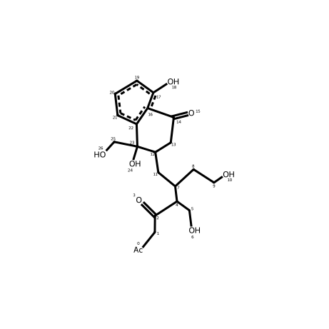 CC(=O)CC(=O)C(CO)C(CCO)CC1CC(=O)c2c(O)cccc2C1(O)CO